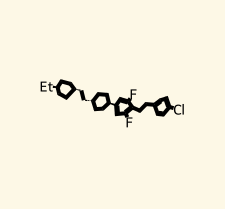 CC[C@H]1CC[C@H](CC[C@H]2CC[C@H](c3cc(F)c(CCc4ccc(Cl)cc4)c(F)c3)CC2)CC1